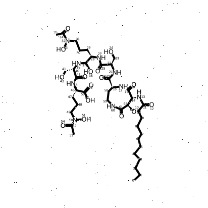 CCCCCCCCCCCC(=O)N[C@H]1C(=O)N[C@H](C(=O)N[C@H](CO)C(=O)N[C@H](CCCN(O)C(C)=O)C(O)N[C@@H](CO)C(=O)N[C@@H](CCCN(O)C(C)=O)C(=O)O)CCNC(=O)[C@@H]1O